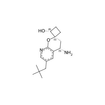 CC(C)(C)Cc1cnc2c(c1)[C@@H](N)C[C@]1(CC[C@H]1O)O2